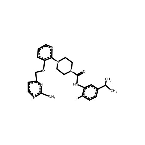 CC(C)c1ccc(F)c(NC(=O)N2CCN(c3ncccc3OCc3ccnc(N)n3)CC2)c1